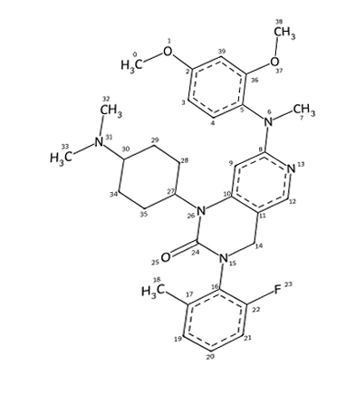 COc1ccc(N(C)c2cc3c(cn2)CN(c2c(C)cccc2F)C(=O)N3C2CCC(N(C)C)CC2)c(OC)c1